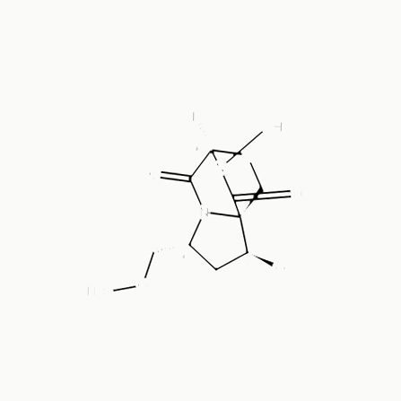 COC[C@H]1C[C@H](O)[C@]23CS[C@H](C(=O)N12)N(C)C3=O